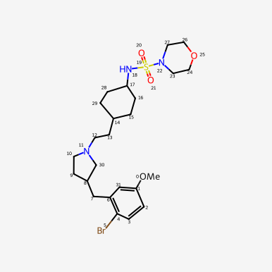 COc1ccc(Br)c(CC2CCN(CCC3CCC(NS(=O)(=O)N4CCOCC4)CC3)C2)c1